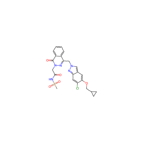 CS(=O)(=O)NC(=O)Cn1nc(Cn2cc3cc(OCC4CC4)c(Cl)cc3n2)c2ccccc2c1=O